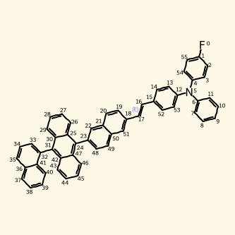 Fc1ccc(N(c2ccccc2)c2ccc(/C=C/c3ccc4cc(-c5c6ccccc6c(-c6cccc7ccccc67)c6ccccc56)ccc4c3)cc2)cc1